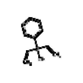 C=C[Si](O)(C=C)c1ccccc1